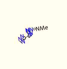 CN[C@H]1C[C@@H](Nc2ncc3c(-c4cnc5nccnc5c4)ccn3n2)C1